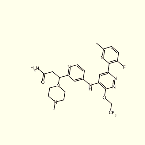 Cc1ccc(F)c(-c2cc(Nc3ccnc(C(CC(N)=O)N4CCN(C)CC4)c3)c(OCC(F)(F)F)nn2)n1